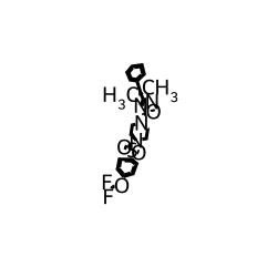 CC(C)(c1ccccc1)c1noc(N2CCN(S(=O)(=O)c3ccc(OC(F)F)cc3)CC2)n1